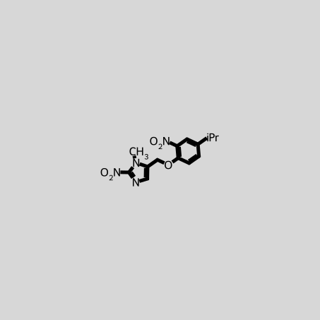 CC(C)c1ccc(OCc2cnc([N+](=O)[O-])n2C)c([N+](=O)[O-])c1